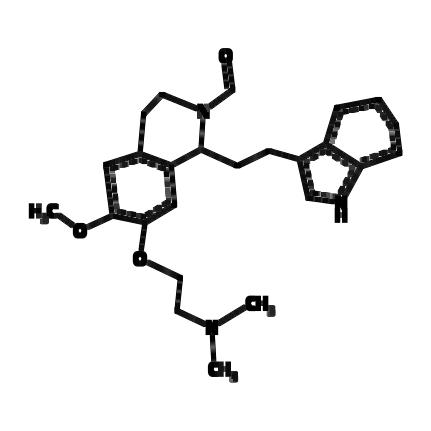 COc1cc2c(cc1OCCN(C)C)C(CCc1c[nH]c3ccccc13)N(C=O)CC2